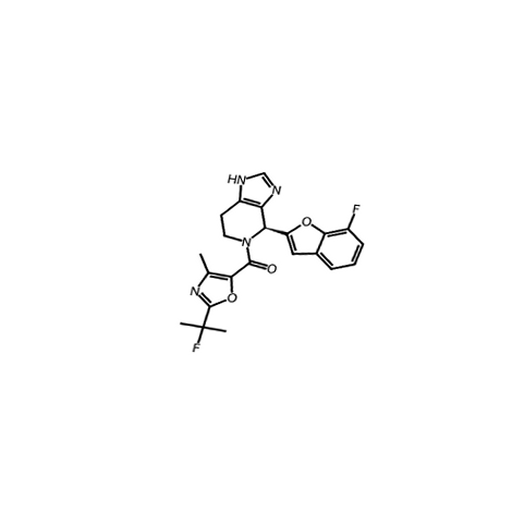 Cc1nc(C(C)(C)F)oc1C(=O)N1CCc2[nH]cnc2[C@H]1c1cc2cccc(F)c2o1